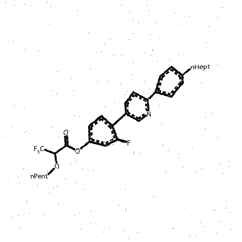 CCCCCCCc1ccc(-c2ccc(-c3ccc(OC(=O)C(OCCCCC)C(F)(F)F)cc3F)cn2)cc1